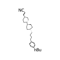 CCCCc1ccc(CCCC[C@H]2CC[C@H]([C@H]3CC[C@H](C=CC#N)CC3)CC2)cc1